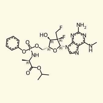 CNc1nc(N)nc2c1ncn2[C@@H]1O[C@H](COP(=O)(N[C@H](C)C(=O)OC(C)C)Oc2ccccc2)[C@@H](O)[C@]1(F)CF